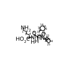 NCCCCC(NC(=O)N[C@H](CC1CCCCC1)C(=O)NC1CC2CCC1C2)C(=O)O